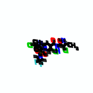 Cc1noc(NC(=O)c2cc3nc(C(C)(C)Cl)c(S(=O)(=O)N4CC(F)(F)C4)n3cc2Cl)c1Cl